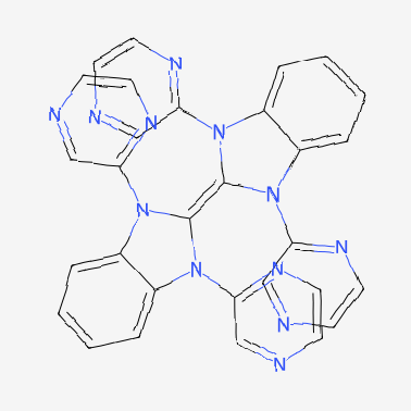 c1ccc2c(c1)N(c1cnccn1)C(=C1N(c3cnccn3)c3ccccc3N1c1cnccn1)N2c1cnccn1